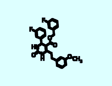 COc1cccc(CCC2=C(C(=O)OCc3cccc(F)c3)C(c3cccc(F)c3)NC(=O)N2)c1